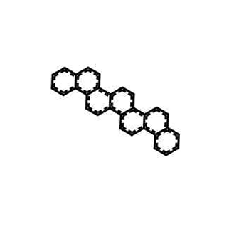 c1ccc2c(c1)ccc1c2ccc2c1ccc1c3ccc4ccccc4c3ccc12